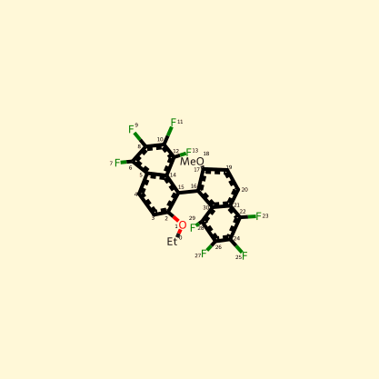 CCOc1ccc2c(F)c(F)c(F)c(F)c2c1-c1c(OC)ccc2c(F)c(F)c(F)c(F)c12